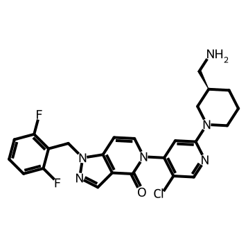 NC[C@H]1CCCN(c2cc(-n3ccc4c(cnn4Cc4c(F)cccc4F)c3=O)c(Cl)cn2)C1